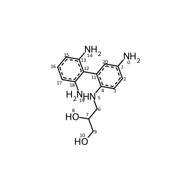 Nc1ccc(NCC(O)CO)c(-c2c(N)cccc2N)c1